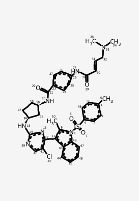 Cc1ccc(S(=O)(=O)n2c(C)c(-c3nc(N[C@H]4CC[C@@H](NC(=O)c5ccc(NC(=O)/C=C/CN(C)C)cc5)C4)ncc3Cl)c3ccccc32)cc1